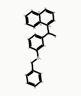 [CH2]C(c1cccc(OCc2ccccc2)c1)c1cccc2ccccc12